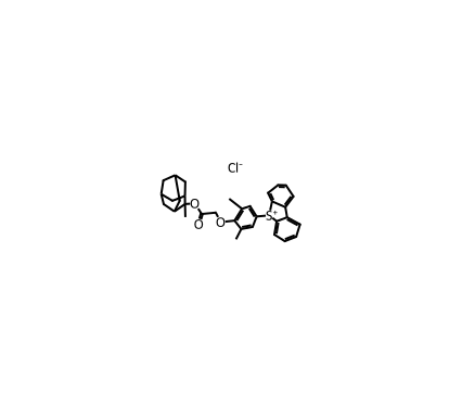 Cc1cc(-[s+]2c3ccccc3c3ccccc32)cc(C)c1OCC(=O)OC1(C)C2CC3CC(C2)CC1C3.[Cl-]